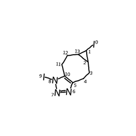 IC1C2CCc3nnn(I)c3CCC12